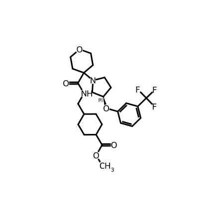 COC(=O)C1CCC(CNC(=O)C2(N3CC[C@@H](Oc4cccc(C(F)(F)F)c4)C3)CCOCC2)CC1